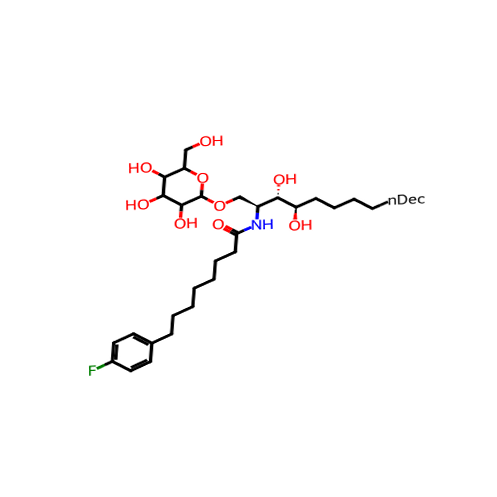 CCCCCCCCCCCCCC[C@@H](O)[C@@H](O)[C@H](COC1OC(CO)C(O)C(O)C1O)NC(=O)CCCCCCCc1ccc(F)cc1